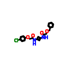 O=C(COCc1ccccc1)NC12CC(NC(=O)COc3ccc(Cl)cc3)(C1)C2